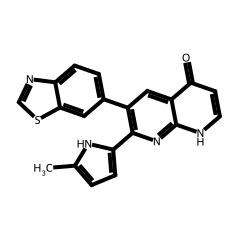 Cc1ccc(-c2nc3[nH]ccc(=O)c3cc2-c2ccc3ncsc3c2)[nH]1